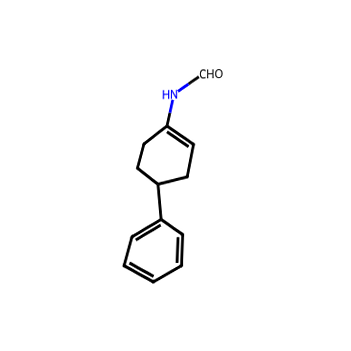 O=CNC1=CCC(c2ccccc2)CC1